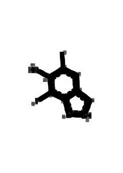 Cc1cc2c[nH]nc2c(F)c1O